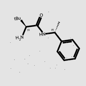 C[C@@H](NC(=O)[C@@H](N)C(C)(C)C)c1ccccc1